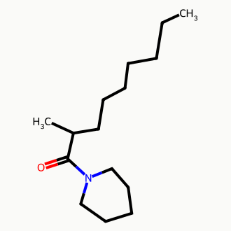 CCCCCCCC(C)C(=O)N1CCCCC1